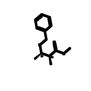 COC(=O)[C@@H](C)[C@H](C)OCc1ccccc1